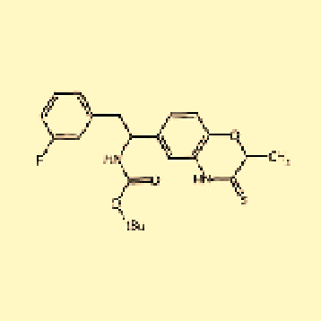 CC1Oc2ccc(C(Cc3cccc(F)c3)NC(=O)OC(C)(C)C)cc2NC1=S